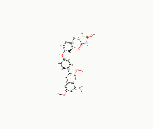 COC(=O)C(Cc1cc(OC)cc(OC)c1)c1ccc(Oc2ccc(CC3SC(=O)NC3=O)cc2)cc1